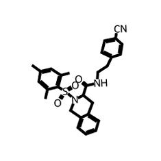 Cc1cc(C)c(S(=O)(=O)N2Cc3ccccc3CC2C(=O)NCCc2ccc(C#N)cc2)c(C)c1